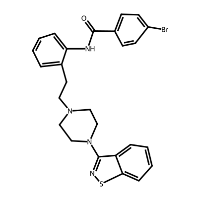 O=C(Nc1ccccc1CCN1CCN(c2nsc3ccccc23)CC1)c1ccc(Br)cc1